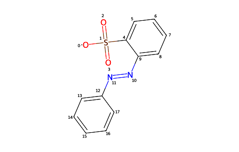 [O]S(=O)(=O)c1ccccc1N=Nc1ccccc1